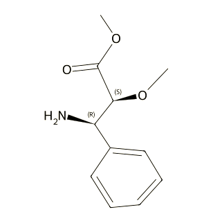 COC(=O)[C@@H](OC)[C@H](N)c1ccccc1